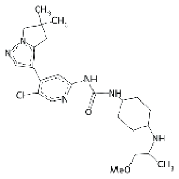 COCC(C)NC1CCC(NC(=O)Nc2cc(-c3cnn4c3CC(C)(C)C4)c(Cl)cn2)CC1